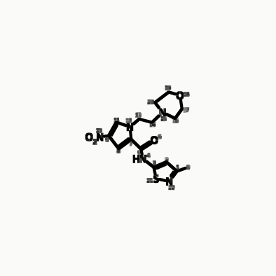 Cc1cc(NC(=O)c2cc([N+](=O)[O-])cn2CCN2CCOCC2)sn1